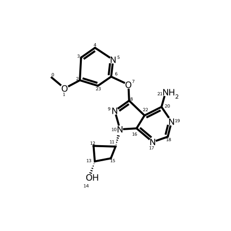 COc1ccnc(Oc2nn([C@H]3C[C@@H](O)C3)c3ncnc(N)c23)c1